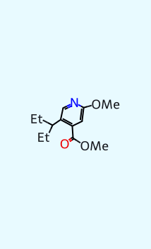 CCC(CC)c1cnc(OC)cc1C(=O)OC